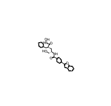 O=C(N[C@H](CO)C[C@@H](Cc1ccccc1)C(=O)NO)c1ccc(-c2cc3ccccc3o2)cc1